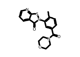 Cc1ccc(C(=O)N2CCOCC2)cc1-n1sc2ncccc2c1=O